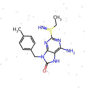 CCS(=N)c1nc(N)c2[nH]c(=O)n(Cc3ccc(C)cc3)c2n1